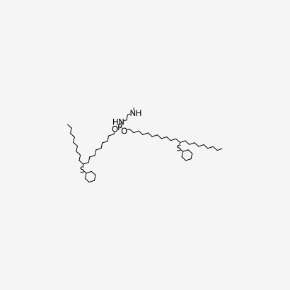 CCCCCCCCCC(CCCCCCCCCCCOP(NCCNC)OCCCCCCCCCC(CCCCCCCCC)SC1CCCCC1)SC1CCCCC1